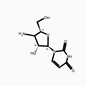 NC1[C@@H](O)[C@H](n2ccc(=O)[nH]c2=O)O[C@@H]1CO